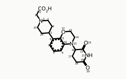 O=C(O)CN1CCC(c2cccc3c2OCCN3C2CCC(=O)NC2=O)CC1